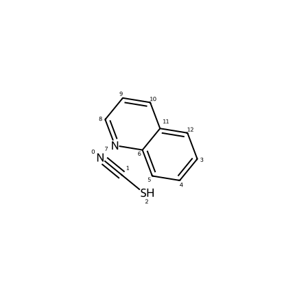 N#CS.c1ccc2ncccc2c1